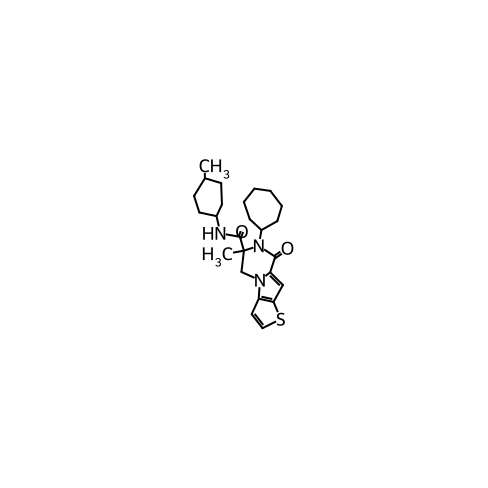 CC1CCC(NC(=O)C2(C)Cn3c(cc4sccc43)C(=O)N2C2CCCCCC2)CC1